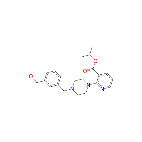 CC(C)OC(=O)c1cccnc1N1CCN(Cc2cccc(C=O)c2)CC1